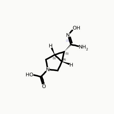 N/C(=N\O)[C@@H]1[C@@H]2CN(C(=O)O)C[C@@H]21